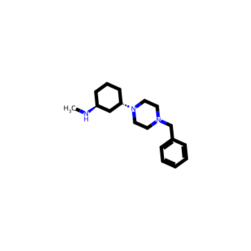 CN[C@H]1CCC[C@H](N2CCN(Cc3ccccc3)CC2)C1